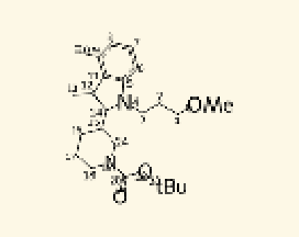 COCCCN1c2cccc(F)c2C(C)C1C1CCCN(C(=O)OC(C)(C)C)C1